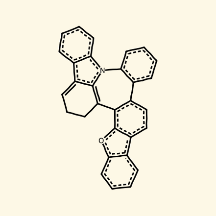 C1=c2c3n(c4ccccc24)-c2ccccc2-c2ccc4c(oc5ccccc54)c2C=3CC1